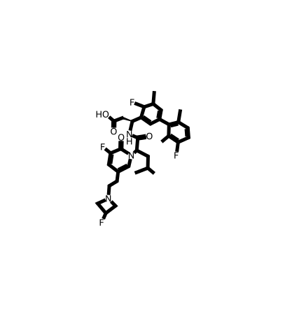 Cc1ccc(F)c(C)c1C1=CC(C)C(F)C([C@H](CC(=O)O)NC(=O)C(CC(C)C)n2cc(CCN3CC(F)C3)cc(F)c2=O)=C1